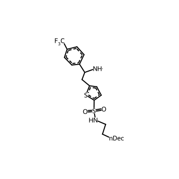 CCCCCCCCCCCCNS(=O)(=O)c1ccc(CC([NH])c2ccc(C(F)(F)F)cc2)s1